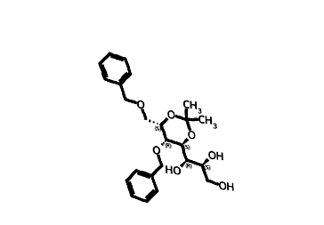 CC1(C)O[C@@H]([C@H](O)[C@@H](O)CO)[C@H](OCc2ccccc2)[C@H](COCc2ccccc2)O1